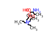 CC(O)C(N)C(=O)O.CCC[N+](CCC)(CCC)CCC.[OH-]